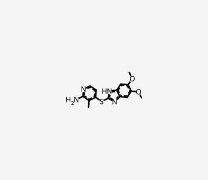 COc1cc2nc(Sc3ccnc(N)c3C)[nH]c2cc1OC